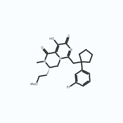 CCc1cccc(C2(Cc3nc(=S)c(O)c4n3C[C@H](CCOC)N(C)C4=O)CCCC2)c1